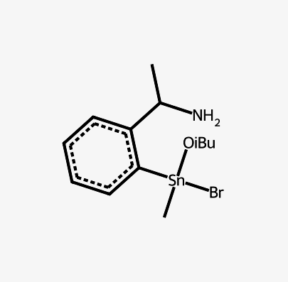 CC(C)C[O][Sn]([CH3])([Br])[c]1ccccc1C(C)N